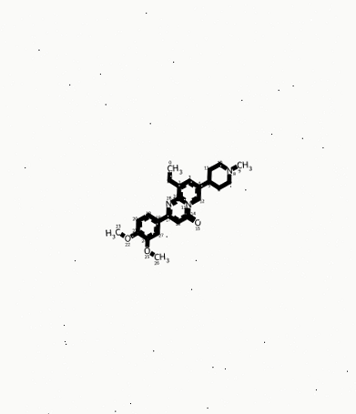 CCc1cc(C2CCN(C)CC2)cn2c(=O)cc(-c3ccc(OC)c(OC)c3)nc12